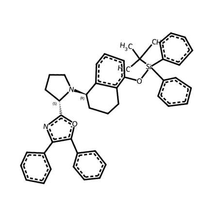 CC(C)(C)[Si](Oc1cccc2c1CCC[C@H]2N1CCC[C@H]1c1nc(-c2ccccc2)c(-c2ccccc2)o1)(c1ccccc1)c1ccccc1